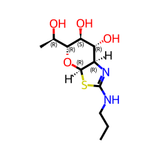 CCCNC1=N[C@@H]2[C@@H](O)[C@H](O)[C@@H]([C@@H](C)O)O[C@@H]2S1